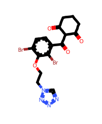 O=C1CCCC(=O)C1C(=O)c1ccc(Br)c(OCCn2cnnn2)c1Br